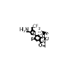 COC1c2c(c(=O)[nH]c(=O)n2C2CC2)C=C(F)C1N1CC(CN)C(CC(F)(F)F)C1